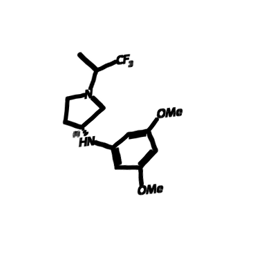 COc1cc(N[C@@H]2CCN(C(C)C(F)(F)F)C2)cc(OC)c1